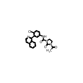 CC(=O)N1CCN(C(=O)Nc2ccc(Cl)c(-c3nccc4ccccc34)c2)C1=O